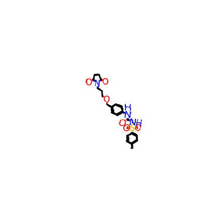 Cc1ccc(S(=O)(=O)NC(=O)Nc2ccc(COCCCN3C(=O)CCC3=O)cc2)cc1